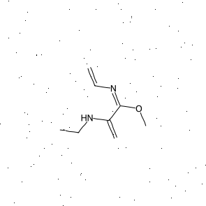 C=C/N=C(/OC)C(=C)NCC